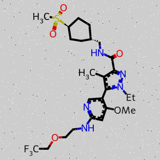 CCn1nc(C(=O)NC[C@H]2CC[C@H](S(C)(=O)=O)CC2)c(C)c1-c1cnc(NCCOCC(F)(F)F)cc1OC